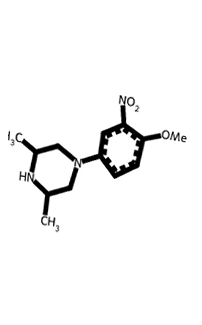 COc1ccc(N2CC(C)NC(C)C2)cc1[N+](=O)[O-]